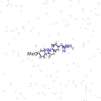 COc1ccc(C2(Nc3ncc(CNN)cn3)CC2)cc1